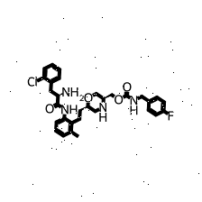 Cc1cccc(NC(=O)[C@@H](N)Cc2ccccc2Cl)c1CC[C@@H]1CN[C@H](COC(=O)NCc2ccc(F)cc2)CO1